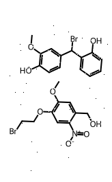 COc1cc(C(Br)c2ccccc2O)ccc1O.COc1cc(CO)c([N+](=O)[O-])cc1OCCBr